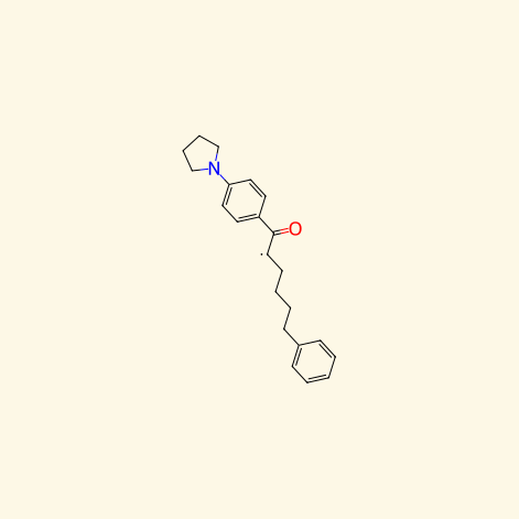 O=C([CH]CCCCc1ccccc1)c1ccc(N2CCCC2)cc1